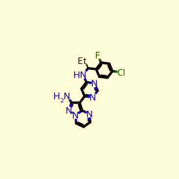 CC[C@H](Nc1cc(-c2c(N)nn3cccnc23)ncn1)c1ccc(Cl)cc1F